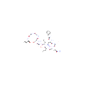 CC[C@@H](C)[C@@H](NC(=O)[C@@H](CCC(N)=O)NC(=O)[C@H](CO)NC(=O)[C@@H](NC(=O)[C@@H](Cc1ccccc1)NC)[C@@H](C)CC)C(=O)N[C@H](C(=O)N[C@@H](CO)C(=O)N[C@H]1C(=O)N[C@@H](C)C(=O)N[C@H](C)C(=O)N[C@@H]([C@@H](C)CC)C(=O)O[C@H]1C)[C@@H](C)CC